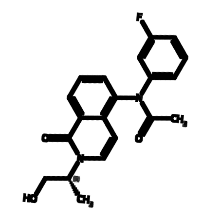 CC(=O)N(c1cccc(F)c1)c1cccc2c(=O)n([C@H](C)CO)ccc12